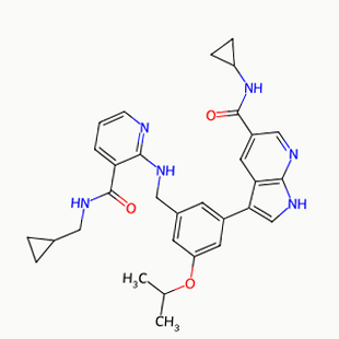 CC(C)Oc1cc(CNc2ncccc2C(=O)NCC2CC2)cc(-c2c[nH]c3ncc(C(=O)NC4CC4)cc23)c1